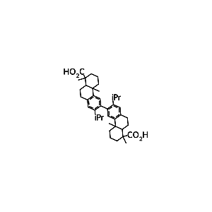 CC(C)c1cc2c(cc1-c1cc3c(cc1C(C)C)CCC1C(C)(C(=O)O)CCCC31C)C1(C)CCCC(C)(C(=O)O)C1CC2